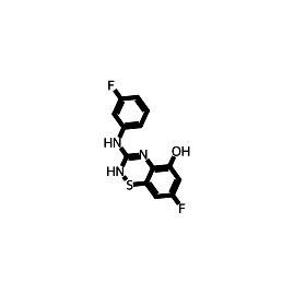 Oc1cc(F)cc2c1N=C(Nc1cccc(F)c1)NS2